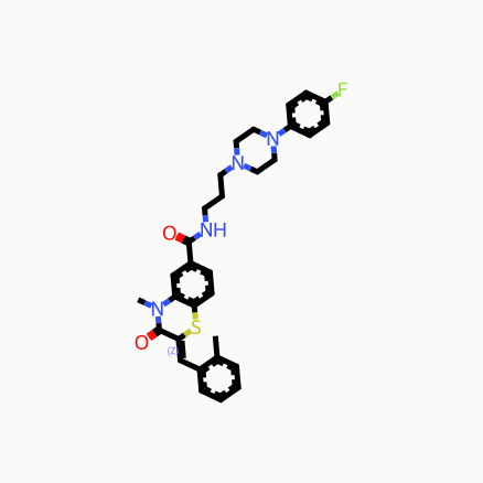 Cc1ccccc1/C=C1\Sc2ccc(C(=O)NCCCN3CCN(c4ccc(F)cc4)CC3)cc2N(C)C1=O